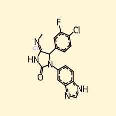 C/N=C1/NC(=O)N(c2ccc3[nH]cnc3c2)C1c1ccc(Cl)c(F)c1